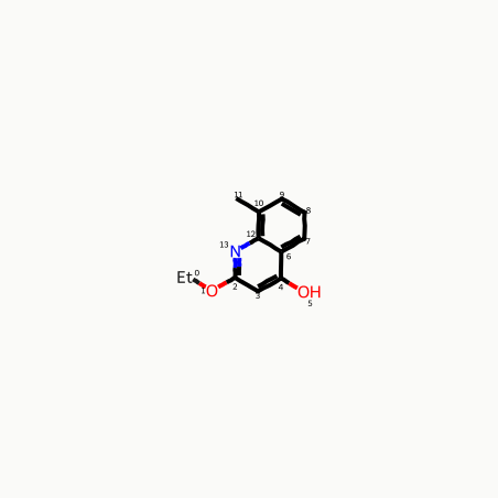 CCOc1cc(O)c2cccc(C)c2n1